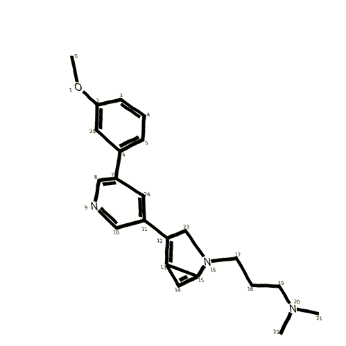 COc1cccc(-c2cncc(C3=C4C=C4N(CCCN(C)C)C3)c2)c1